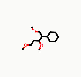 COCCC(OC)C(COC)C1CCCCC1